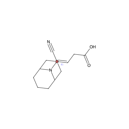 N#C/C(=C\CC(=O)O)N1C2CCCC1COC2